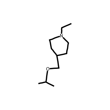 CCN1CCC(COC(C)C)CC1